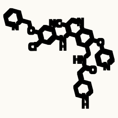 N#Cc1cnc2cc(Oc3ccncc3)c(CNC(=O)C=C3CCNCC3)cc2c1Nc1ccc(OCc2ccccn2)c(Cl)c1